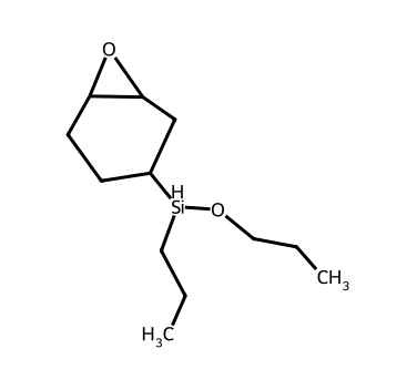 CCCO[SiH](CCC)C1CCC2OC2C1